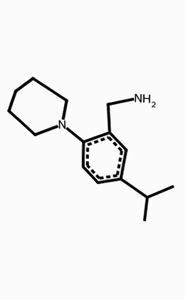 CC(C)c1ccc(N2CCCCC2)c(CN)c1